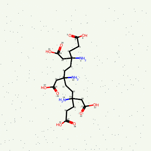 NC(CCC(=O)O)(CCC(N)(CCC(N)(CCC(=O)O)CC(=O)O)CC(=O)O)CC(=O)O